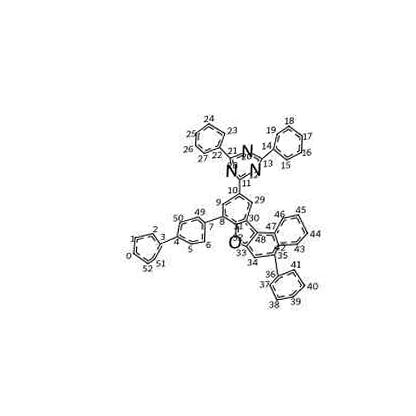 c1ccc(-c2ccc(-c3cc(-c4nc(-c5ccccc5)nc(-c5ccccc5)n4)cc4c3oc3cc(-c5ccccc5)c5ccccc5c34)cc2)cc1